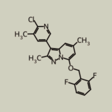 Cc1cc(OCc2c(F)cccc2F)n2nc(C)c(-c3cnc(Cl)c(C)c3)c2c1